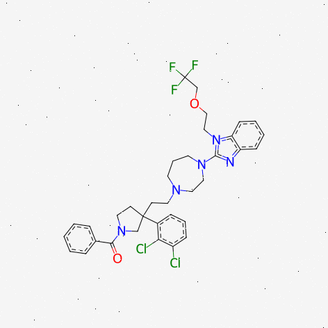 O=C(c1ccccc1)N1CCC(CCN2CCCN(c3nc4ccccc4n3CCOCC(F)(F)F)CC2)(c2cccc(Cl)c2Cl)C1